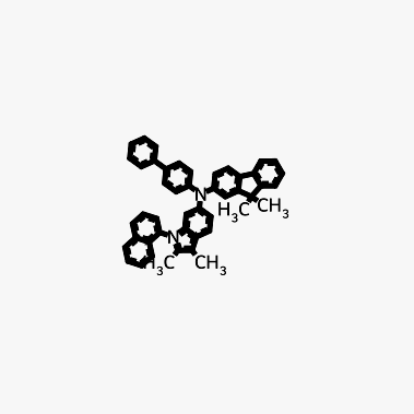 Cc1c(C)n(-c2cccc3ccccc23)c2cc(N(c3ccc(-c4ccccc4)cc3)c3ccc4c(c3)C(C)(C)c3ccccc3-4)ccc12